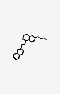 CCCOc1ccc2c(c1)CCN=C2/C=C/c1ccc2ccccc2c1